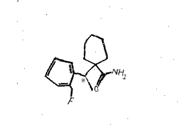 C[C@@H](c1ccccc1F)C1(C(N)=O)CCCCC1